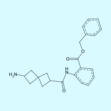 NC1CC2(C1)CC(C(=O)Nc1ccccc1C(=O)OCc1ccccc1)C2